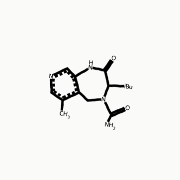 CCC(C)C1C(=O)Nc2cncc(C)c2CN1C(N)=O